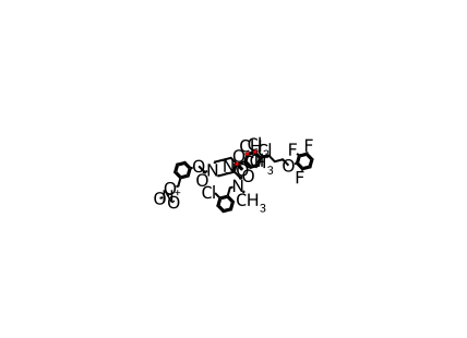 CCN(Cc1ccccc1Cl)C(=O)C1=C(c2ccc(CCCOc3c(F)ccc(F)c3F)cc2)CC2CN(C(=O)Oc3cccc(CO[N+](=O)[O-])c3)CC1N2C(=O)OC(C)(C)C(Cl)(Cl)Cl